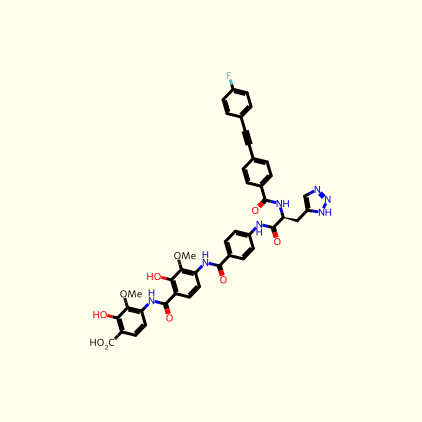 COc1c(NC(=O)c2ccc(NC(=O)c3ccc(NC(=O)[C@H](Cc4cnn[nH]4)NC(=O)c4ccc(C#Cc5ccc(F)cc5)cc4)cc3)c(OC)c2O)ccc(C(=O)O)c1O